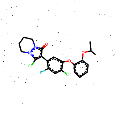 CC(C)Oc1ccccc1Oc1cc(-c2c(Cl)n3n(c2=O)CCCC3)c(F)cc1Cl